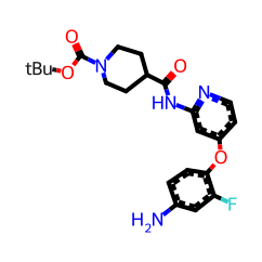 CC(C)(C)OC(=O)N1CCC(C(=O)Nc2cc(Oc3ccc(N)cc3F)ccn2)CC1